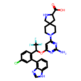 Nc1nc(OC(c2ccc(Cl)cc2-c2cccc3[nH]cnc23)C(F)(F)F)cc(N2CCC3(CC2)CNC(C(=O)O)C3)n1